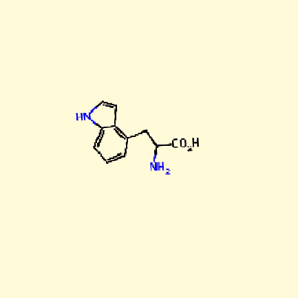 NC(Cc1cccc2[nH]ccc12)C(=O)O